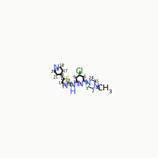 CN1CCN(c2cc(Cl)cc(Nc3ncc(-c4ccncc4)s3)n2)CC1